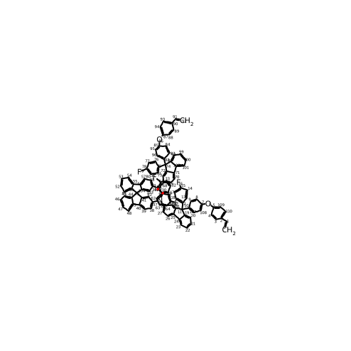 C=Cc1ccc(Oc2ccc(C3(c4ccc(F)cc4)c4ccccc4-c4ccc(N(c5cccc(F)c5)c5ccc6c(c5)C5(c7ccccc7-6)c6ccccc6-c6ccc(N(c7cccc(F)c7)c7ccc8c(c7)C(c7ccc(F)cc7)(c7ccc(Oc9ccc(C=C)cc9)cc7)c7ccccc7-8)cc65)cc43)cc2)cc1